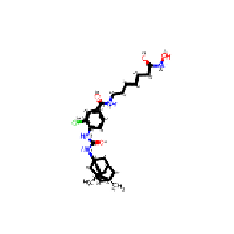 C[C@]12CC3CC(NC(=O)Nc4ccc(C(=O)NCCCCCCC(=O)NO)cc4Cl)(C1)C[C@@](C)(C3)C2